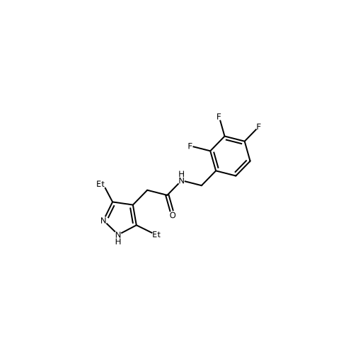 CCc1n[nH]c(CC)c1CC(=O)NCc1ccc(F)c(F)c1F